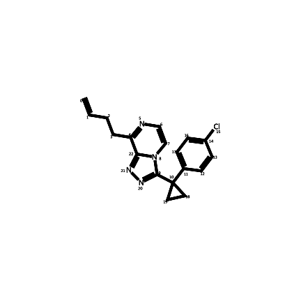 C=CCCc1nccn2c(C3(c4ccc(Cl)cc4)CC3)nnc12